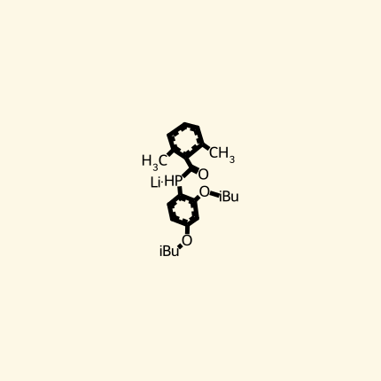 CCC(C)Oc1ccc(PC(=O)c2c(C)cccc2C)c(OC(C)CC)c1.[Li]